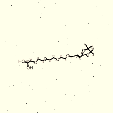 CC1(C)OB(/C=C/COCCOCCOCCOCC(O)O)OC1(C)C